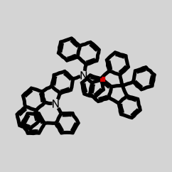 c1ccc(-c2ccccc2-n2c3cc(N(c4ccc5c(c4)C(c4ccccc4)(c4ccccc4-c4ccccc4)c4ccccc4-5)c4cccc5ccccc45)ccc3c3ccc4ccccc4c32)cc1